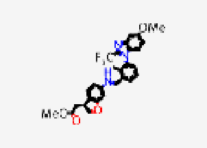 COC(=O)C[C@@H]1COc2cc(NCc3cccc(-n4c(C(F)(F)F)nc5cc(OC)ccc54)c3C)ccc21